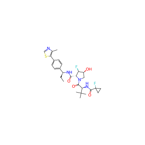 CC[C@H](NC(=O)[C@@H]1[C@@H](F)[C@@H](O)CN1C(=O)[C@@H](NC(=O)C1(F)CC1)C(C)(C)C)c1ccc(-c2scnc2C)cc1